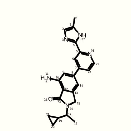 Cc1cnc(-c2cc(-c3cc(N)c4c(c3)CN(C(C)C3CC3)C4=O)ccn2)[nH]1